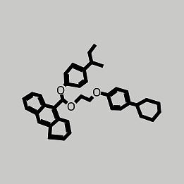 CCC(C)c1ccc(OC(OCCOc2ccc(C3CCCCC3)cc2)c2c3ccccc3cc3ccccc23)cc1